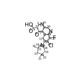 Cn1cc(C(=O)O)c(=O)c2c3cc(N4CC5(C)CC4CC(C)(C)C5)c(Cl)c(F)c3ncc21